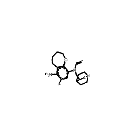 Nc1c(Br)cc(N(C=O)C2CN3CCC2CC3)c2c1CCCCO2